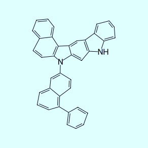 c1ccc(-c2cccc3cc(-n4c5cc6[nH]c7ccccc7c6cc5c5c6ccccc6ccc54)ccc23)cc1